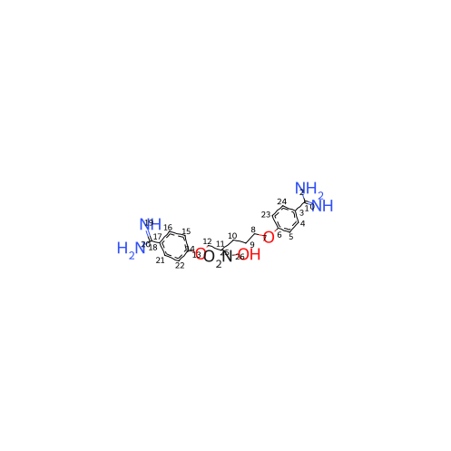 N=C(N)c1ccc(OCCCCCOc2ccc(C(=N)N)cc2)cc1.O=[N+]([O-])O